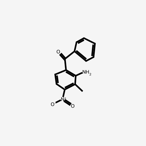 Cc1c([N+](=O)[O-])ccc(C(=O)c2ccccc2)c1N